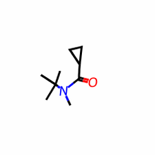 CN(C(=O)C1CC1)C(C)(C)C